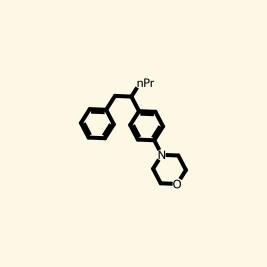 CCCC(Cc1ccccc1)c1ccc(N2CCOCC2)cc1